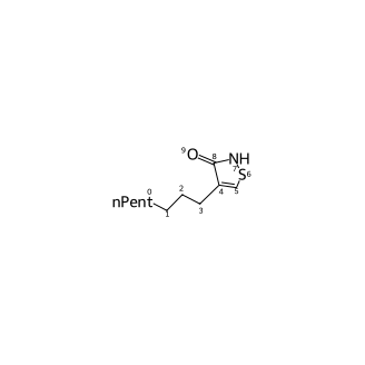 CCCCCCCCc1cs[nH]c1=O